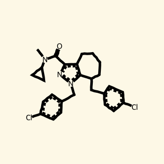 CN(C(=O)c1nn(Cc2ccc(Cl)cc2)c2c1CCCCC2Cc1ccc(Cl)cc1)C1CC1